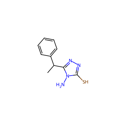 CC(c1ccccc1)c1nnc(S)n1N